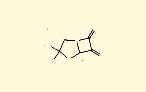 CC1(C)S[C@@H]2C(=O)C(=O)N2[C@H]1C(=O)O